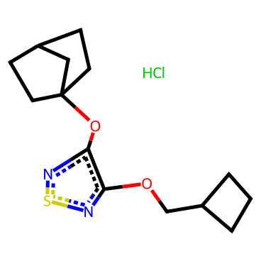 C1CC(COc2nsnc2OC23CCC(CC2)C3)C1.Cl